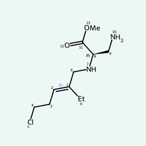 CC/C(=C\CCCl)CN[C@H](CN)C(=O)OC